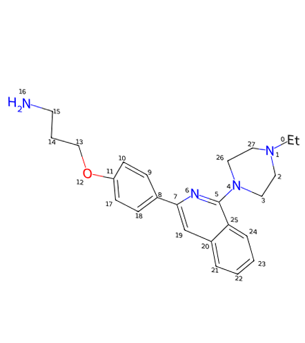 CCN1CCN(c2nc(-c3ccc(OCCCN)cc3)cc3ccccc23)CC1